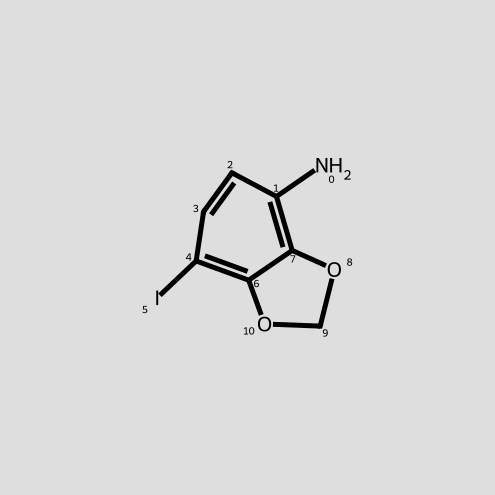 Nc1ccc(I)c2c1OCO2